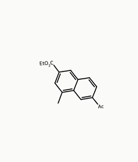 CCOC(=O)c1cc(C)c2cc(C(C)=O)ccc2c1